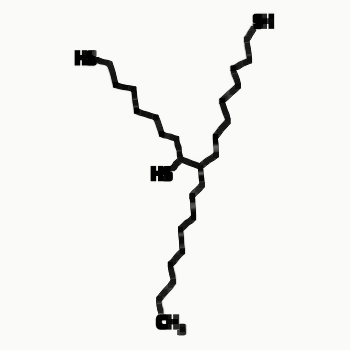 CCCCCCCCCC(CCCCCCCCS)C(S)CCCCCCCS